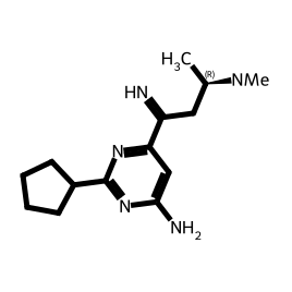 CN[C@H](C)CC(=N)c1cc(N)nc(C2CCCC2)n1